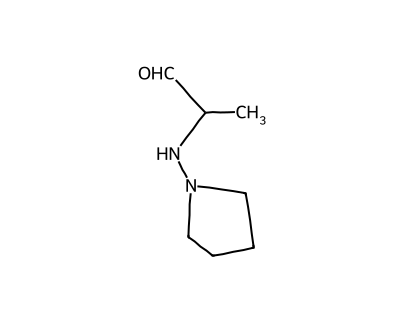 CC(C=O)NN1CCCC1